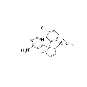 CCc1ccc(Cl)cc1C1(c2cc(N)ncn2)NC=CC1C#N